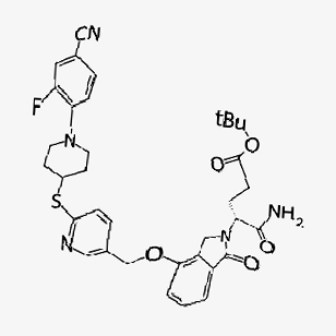 CC(C)(C)OC(=O)CC[C@H](C(N)=O)N1Cc2c(OCc3ccc(SC4CCN(c5ccc(C#N)cc5F)CC4)nc3)cccc2C1=O